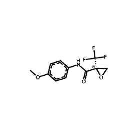 COc1ccc(NC(=O)[C@@]2(C(F)(F)F)CO2)cc1